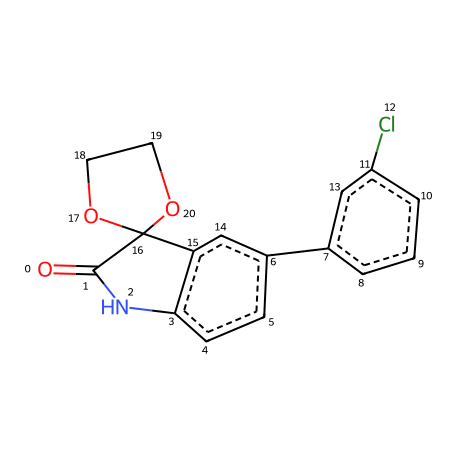 O=C1Nc2ccc(-c3cccc(Cl)c3)cc2C12OCCO2